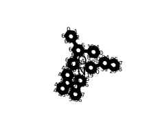 c1ccc(-c2cc(-c3ccccc3)c3oc4c(N(c5ccc(-c6ccc7ccccc7c6)cc5)c5ccc6c(c5)C5(c7ccccc7-c7ccccc75)c5ccccc5-6)cccc4c3c2)cc1